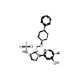 CS(=O)(=O)N[C@H]1CCN(c2cc(O)c(F)cn2)[C@H]1CO[C@H]1CC[C@@H](c2ccccc2)CC1